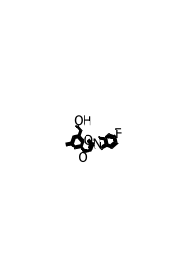 Cc1cc(CCO)c2oc(N3Cc4ccc(F)cc4C3)cc(=O)c2c1